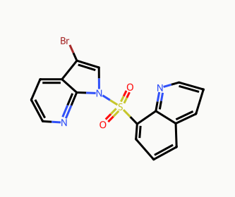 O=S(=O)(c1cccc2cccnc12)n1cc(Br)c2cccnc21